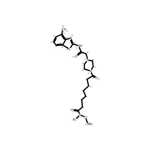 CCCCON(C(C)=O)C(=O)CCCCCCC(=O)N1CCN(CC(=O)Nc2nc3c(C)cccc3s2)CC1